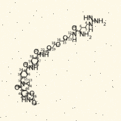 N=C(N)NCCC[C@H](N)C(=O)NCCOCCOCCOCCNC(=O)c1ccc(NC(=O)c2ccc(CN(C(=O)c3ccc4c(c3)OCC(=O)N4)C3CC3)cc2)cc1